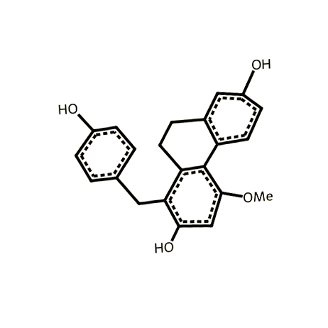 COc1cc(O)c(Cc2ccc(O)cc2)c2c1-c1ccc(O)cc1CC2